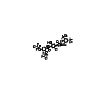 CCCCC(Oc1ccc(C(C)(C)CC)cc1C(C)(C)CC)C(=O)Nc1cc(O)c(NC(=O)c2ccc(OC(F)(F)C(F)Cl)cc2OC(F)(F)C(F)Cl)cc1Cl